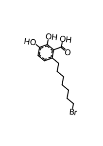 O=C(O)c1c(CCCCCCCBr)ccc(O)c1O